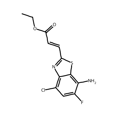 CCOC(=O)/C=C/c1nc2c(Cl)cc(F)c(N)c2s1